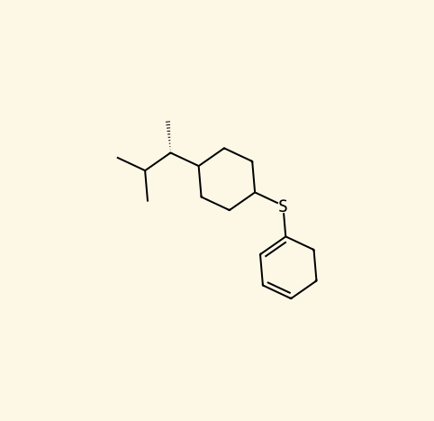 CC(C)[C@H](C)C1CCC(SC2=CC=CCC2)CC1